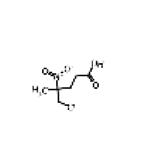 CC(CCl)(CCC(=O)O)[N+](=O)[O-]